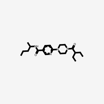 CCCC(C)NC(=O)c1ccc(N2CCN(C(=O)C(CC)CC)CC2)nc1